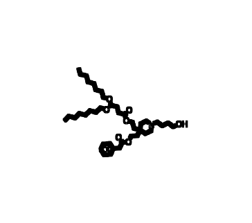 CCCCCCCCOC(CCC(=O)OCCC1(CCOC(=O)CC23CCC(CC2)CC3)CCN(CCCCO)CC1)OCCCCCCCC